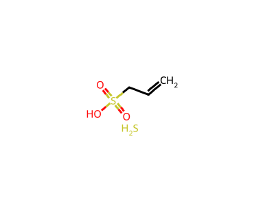 C=CCS(=O)(=O)O.S